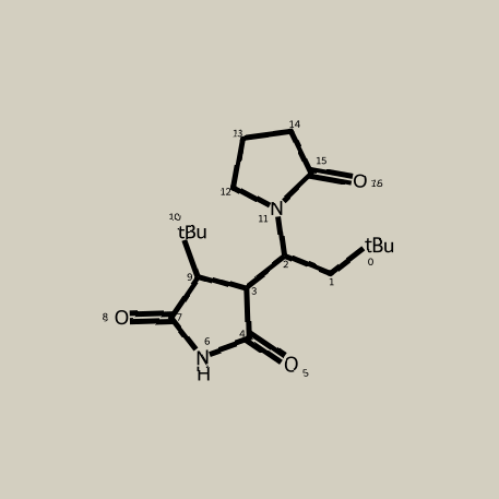 CC(C)(C)CC(C1C(=O)NC(=O)C1C(C)(C)C)N1CCCC1=O